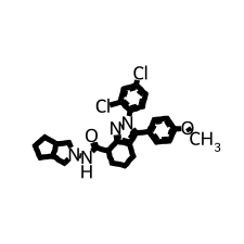 COc1ccc(-c2c3c(nn2-c2ccc(Cl)cc2Cl)C(C(=O)NN2CC4CCCC4C2)CCC3)cc1